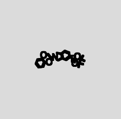 CC1(C)OB(c2ccc3c(c2)CN(C2COc4ccccc4O2)C3)OC1(C)C